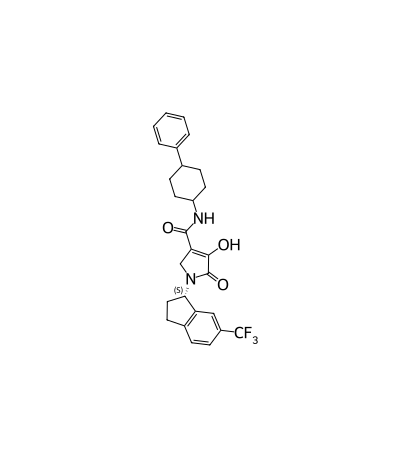 O=C(NC1CCC(c2ccccc2)CC1)C1=C(O)C(=O)N([C@H]2CCc3ccc(C(F)(F)F)cc32)C1